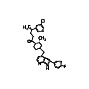 C[C@H](CCC(=O)C1CCC(Cc2ccnc3[nH]c(-c4ccc(F)cc4)cc23)C[C@H]1C)c1cccc(Cl)c1